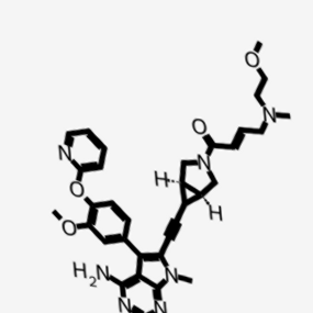 COCCN(C)C/C=C/C(=O)N1C[C@@H]2C(C#Cc3c(-c4ccc(Oc5ccccn5)c(OC)c4)c4c(N)ncnc4n3C)[C@@H]2C1